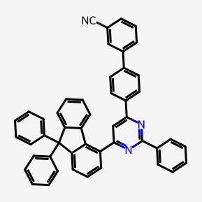 N#Cc1cccc(-c2ccc(-c3cc(-c4cccc5c4-c4ccccc4C5(c4ccccc4)c4ccccc4)nc(-c4ccccc4)n3)cc2)c1